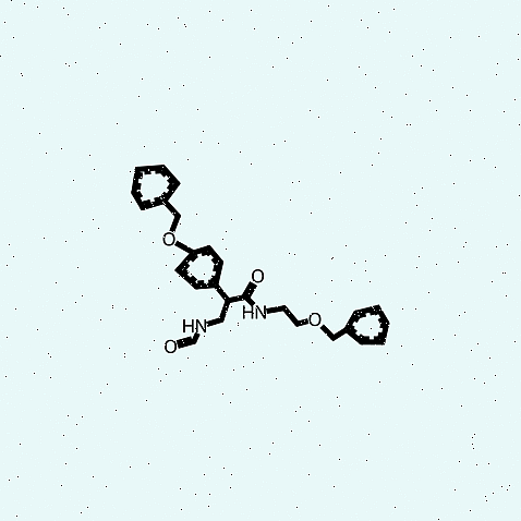 O=CNCC(C(=O)NCCOCc1ccccc1)c1ccc(OCc2ccccc2)cc1